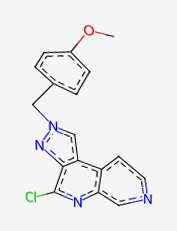 COc1ccc(Cn2cc3c(n2)c(Cl)nc2cnccc23)cc1